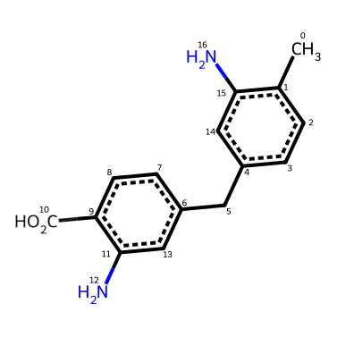 Cc1ccc(Cc2ccc(C(=O)O)c(N)c2)cc1N